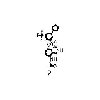 CCOC(=O)CNC1=C(C=N)[C@H](N(C)S(=O)(=O)c2cc(C3CCCC3)cc(C(F)(F)F)c2)CCC1